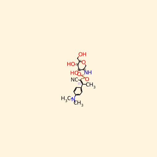 C/C(=C(/C#N)S(=O)(=O)N[C@H]1CO[C@H](CO)[C@@H](O)[C@@H]1O)c1ccc(N(C)C)cc1